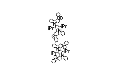 CC(C)c1c2c3c4oc5ccccc5c4cc4c5c(-c6ccc7c(c6)oc6cc8c9c(C(C)C)c%10c(c(C(C)C)c9n9c%11ccccc%11c(c67)c89)c6cc7oc8ccccc8c7c7c8ccccc8n%10c67)cccc5n(c2c(C(C)C)c2c5c6oc7ccccc7c6cc6c7ccccc7n(c12)c65)c43